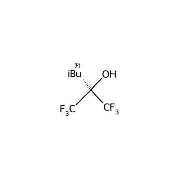 CC[C@@H](C)C(O)(C(F)(F)F)C(F)(F)F